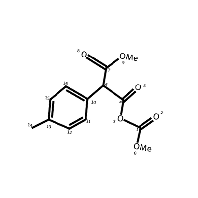 COC(=O)OC(=O)C(C(=O)OC)c1ccc(C)cc1